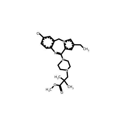 CCc1cc2n(c1)Cc1cc(Cl)ccc1N=C2N1CCN(CC(C)(C)C(=O)OC)CC1